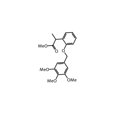 COC(=O)C(C)c1ccccc1OCc1cc(OC)c(OC)c(OC)c1